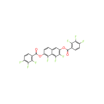 O=C(Oc1cc2ccc(OC(=O)c3ccc(F)c(F)c3F)c(F)c2c(F)c1F)c1ccc(F)c(F)c1F